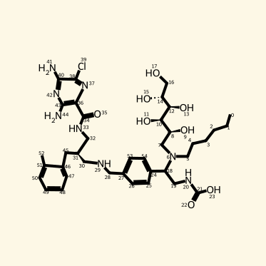 CCCCCCN(C[C@H](O)[C@@H](O)[C@H](O)[C@H](O)CO)C(CNC(=O)O)c1ccc(CNC[C@H](CNC(=O)c2nc(Cl)c(N)nc2N)Cc2ccccc2C)cc1